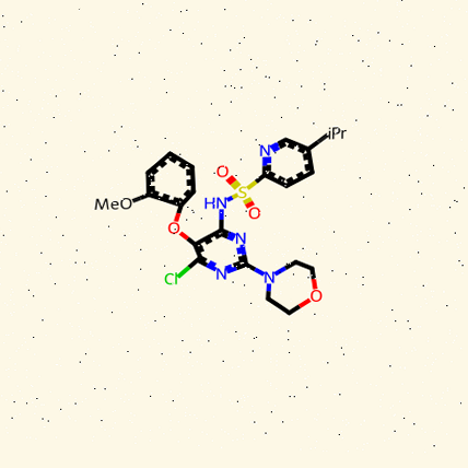 COc1ccccc1Oc1c(Cl)nc(N2CCOCC2)nc1NS(=O)(=O)c1ccc(C(C)C)cn1